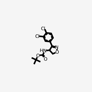 CC(C)(C)OC(=O)NC1CON=C1c1ccc(Cl)c(Cl)c1